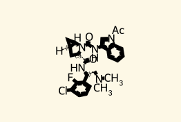 CC(=O)n1cc(NC(=O)N2[C@@H]3C[C@@H]3C[C@H]2C(=O)N[C@H](CN(C)C)c2cccc(Cl)c2F)c2ccccc21